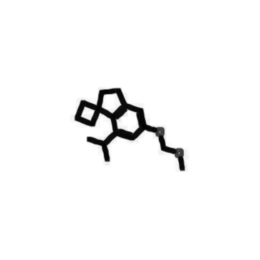 COCOc1cc2c(c(C(C)C)c1)C1(CCC1)CC2